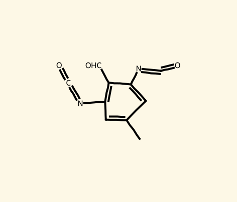 Cc1cc(N=C=O)c(C=O)c(N=C=O)c1